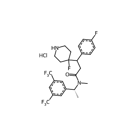 C[C@H](c1cc(C(F)(F)F)cc(C(F)(F)F)c1)N(C)C(=O)CC(c1ccc(F)cc1)C1(F)CCNCC1.Cl